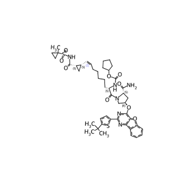 CC(C)(C)c1ccc(-c2nc(O[C@@H]3C[C@@H](C(N)=O)N(C(=O)[C@H](CCCCC/C=C\[C@@H]4C[C@@H]4C(=O)NS(=O)(=O)C4(C)CC4)NC(=O)OC4CCCC4)C3)c3oc4ccccc4c3n2)s1